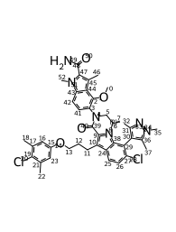 COc1c(N2C[C@@H](C)n3c(c(CCCOc4cc(C)c(Cl)c(C)c4)c4ccc(Cl)c(-c5c(C)nn(C)c5C)c43)C2=O)ccc2c1c(C)c(C(N)=O)n2C